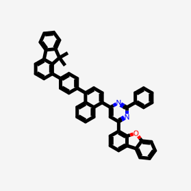 CC1(C)c2ccccc2-c2cccc(-c3ccc(-c4ccc(-c5cc(-c6cccc7c6oc6ccccc67)nc(-c6ccccc6)n5)c5ccccc45)cc3)c21